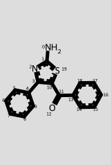 Nc1nc(-c2ccccc2)c(C(=O)c2ccccc2)s1